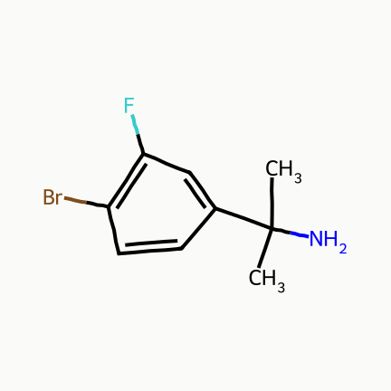 CC(C)(N)c1ccc(Br)c(F)c1